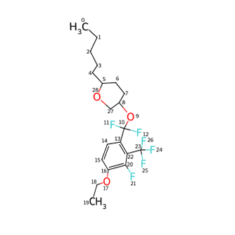 CCCCCC1CCC(OC(F)(F)c2ccc(OCC)c(F)c2C(F)(F)F)CO1